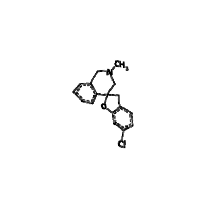 CN1Cc2ccccc2C2(Cc3ccc(Cl)cc3O2)C1